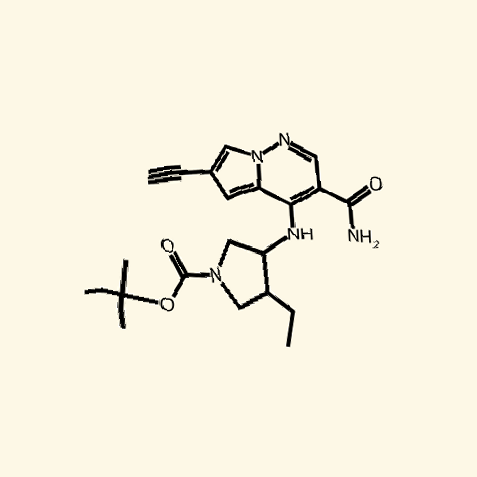 C#Cc1cc2c(NC3CN(C(=O)OC(C)(C)C)CC3CC)c(C(N)=O)cnn2c1